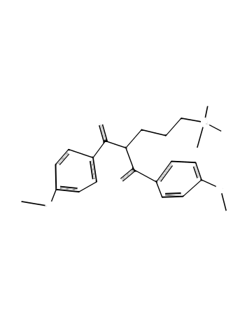 COc1ccc(C(=O)C(CCC[Si](C)(C)C)C(=O)c2ccc(OC)cc2)cc1